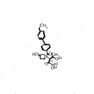 CCc1ccc(-c2ccc(C(=O)[N+]3([C@H](C(=O)NO)[C@@H](C)O)CC[C@@H](O)C3)cc2)cc1